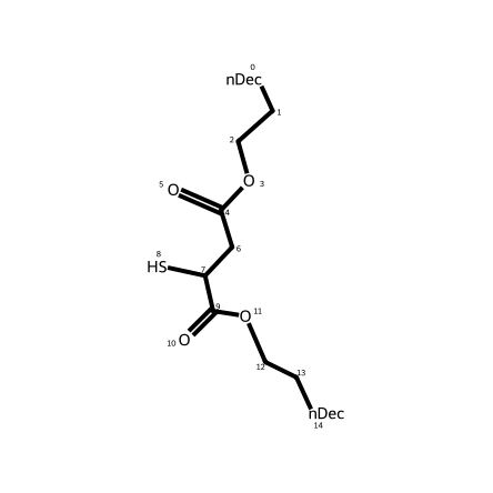 CCCCCCCCCCCCOC(=O)CC(S)C(=O)OCCCCCCCCCCCC